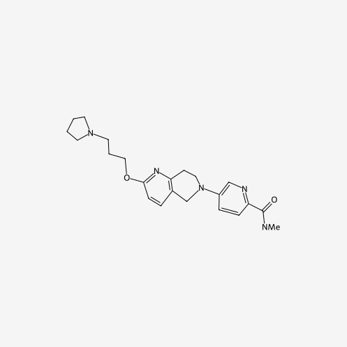 CNC(=O)c1ccc(N2CCc3nc(OCCCN4CCCC4)ccc3C2)cn1